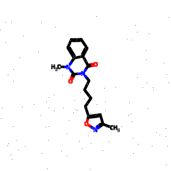 Cc1cc(CCCCn2c(=O)c3ccccc3n(C)c2=O)on1